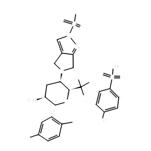 CS(=O)(=O)n1cc2c(n1)CN([C@@H]1C[C@H](N)[C@@H](c3cc(F)ccc3F)O[C@@H]1C(F)(F)F)C2.Cc1ccc(S(=O)(=O)O)cc1